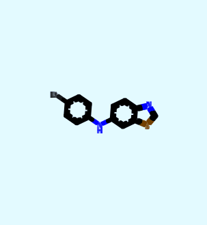 CCc1ccc(Nc2ccc3ncsc3c2)cc1